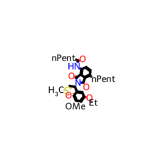 CCCCCC(=O)Nc1ccc(CCCCC)c2c1C(=O)N(C(C[S+](C)[O-])c1ccc(OC)c(OCC)c1)C2=O